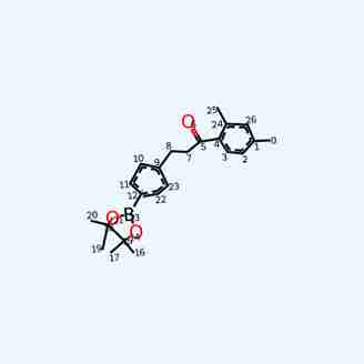 Cc1ccc(C(=O)CCc2ccc(B3OC(C)(C)C(C)(C)O3)cc2)c(C)c1